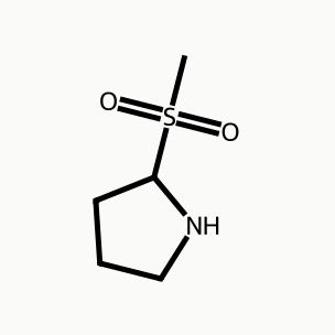 CS(=O)(=O)C1CCCN1